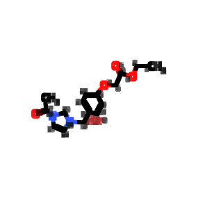 Br.CCOC(=O)COc1ccc(CN2C=CN(C(C)=O)C2)cc1